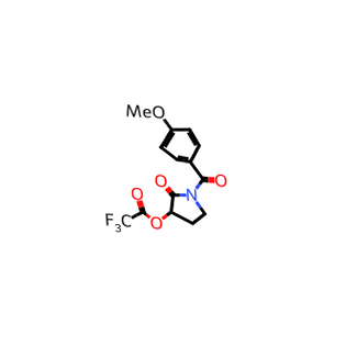 COc1ccc(C(=O)N2CCC(OC(=O)C(F)(F)F)C2=O)cc1